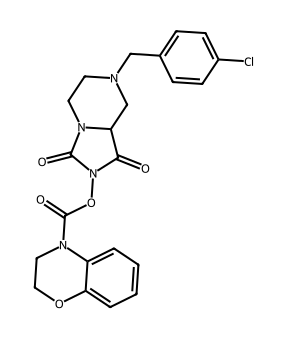 O=C1C2CN(Cc3ccc(Cl)cc3)CCN2C(=O)N1OC(=O)N1CCOc2ccccc21